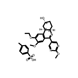 CCOc1cc2c(cc1OC)C(c1cnc(OC)nc1)=N[C@@H]1CC[C@@H](O)C[C@H]21.Cc1ccc(S(=O)(=O)O)cc1